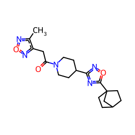 Cc1nonc1CC(=O)N1CCC(c2noc(C34CCC(CC3)C4)n2)CC1